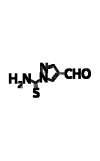 NC(=S)n1cc(C=O)cn1